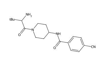 CC(C)(C)C(N)C(=O)N1CCC(NC(=O)c2ccc(C#N)cc2)CC1